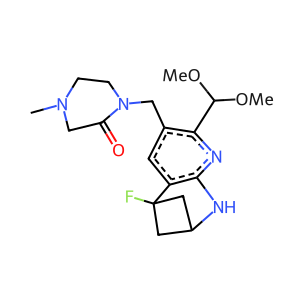 COC(OC)c1nc2c(cc1CN1CCN(C)CC1=O)C1(F)CC(C1)N2